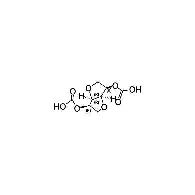 O=C(O)O[C@@H]1CO[C@H]2[C@@H]1OC[C@H]2OC(=O)O